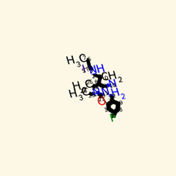 C=C(CN[C@H](I)CC)C1=C(N)N(Cc2ccc(F)cc2)C(=O)N(CC)C1=C